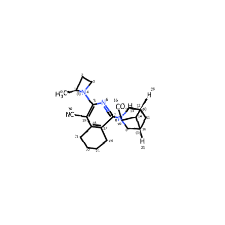 C[C@H]1CCN1c1nc(N2C[C@H]3C[C@@H](C2)C3CC(=O)O)c2c(c1C#N)CCCC2